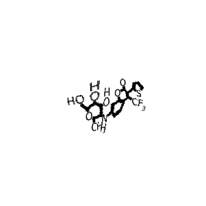 CC1OC(CO)C(O)C(O)C1Nc1ccc2c(C(F)(F)F)c(-c3cccs3)c(=O)oc2c1